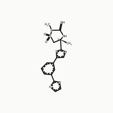 CN1C(=N)N[C@](C)(c2ncc(-c3cccc(-c4ncco4)c3)s2)CS1(=O)=O